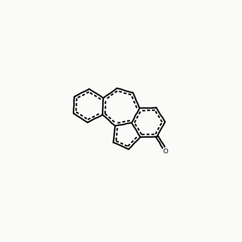 O=c1ccc2ccc3ccccc3c3ccc1c23